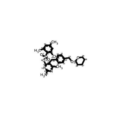 Cc1cc(C)c(S(=O)(=O)Oc2nc(N)nc(C)c2Cc2ccc(CO[C@H]3CCCCO3)cc2)c(C)c1